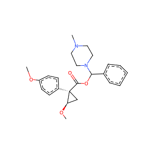 COc1ccc([C@]2(C(=O)OC(c3ccccc3)N3CCN(C)CC3)C[C@H]2OC)cc1